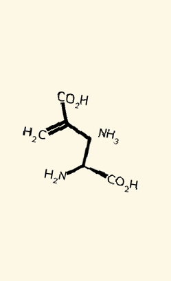 C=C(C[C@H](N)C(=O)O)C(=O)O.N